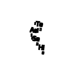 I.[As].[Se].[Te]